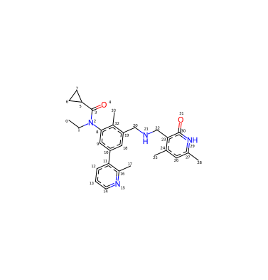 CCN(C(=O)C1CC1)c1cc(-c2cccnc2C)cc(CNCc2c(C)cc(C)[nH]c2=O)c1C